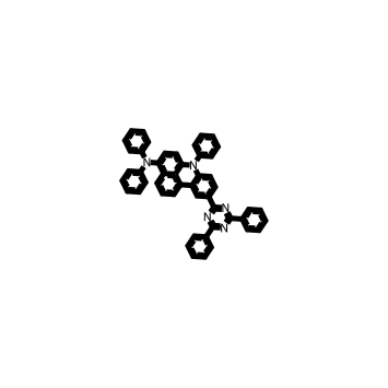 c1ccc(-c2nc(-c3ccccc3)nc(-c3ccc4c(c3)-c3cccc5c(N(c6ccccc6)c6ccccc6)ccc(c35)N4c3ccccc3)n2)cc1